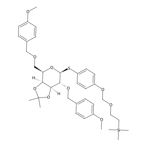 COc1ccc(COC[C@H]2O[C@@H](Sc3ccc(OCOCC[Si](C)(C)C)cc3)[C@H](OCc3ccc(OC)cc3)[C@H]3OC(C)(C)O[C@H]32)cc1